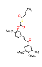 CC=CC(=O)SCC(=O)Oc1cc(C=CC(=O)c2cc(OC)c(OC)c(OC)c2)ccc1OC